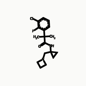 CC(C)(C(=O)NC1(CN2CCC2)CC1)c1cccc(Cl)c1F